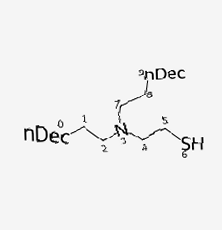 CCCCCCCCCCCCN(CCS)CCCCCCCCCCCC